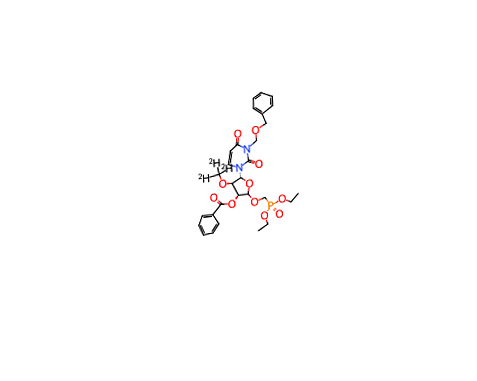 [2H]C([2H])([2H])O[C@@H]1[C@H](OC(=O)c2ccccc2)C(OCP(=O)(OCC)OCC)O[C@H]1n1ccc(=O)n(COCc2ccccc2)c1=O